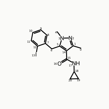 Cc1nn(C)c(Cc2ccccc2I)c1C(=O)NC1CC1